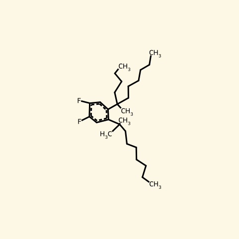 CCCCCCCC(C)(C)c1cc(F)c(F)cc1C(C)(CCCC)CCCCCC